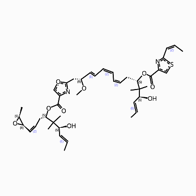 C/C=C\c1nc(C(=O)O[C@@H](C\C=C/C=C\C=C\[C@@H](Cc2nc(C(=O)O[C@@H](C/C=C\[C@H]3O[C@H]3C)C(C)(C)[C@@H](O)/C=C/C)co2)OC)C(C)(C)[C@@H](O)/C=C/C)cs1